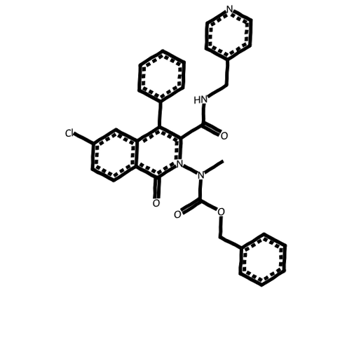 CN(C(=O)OCc1ccccc1)n1c(C(=O)NCc2ccncc2)c(-c2ccccc2)c2cc(Cl)ccc2c1=O